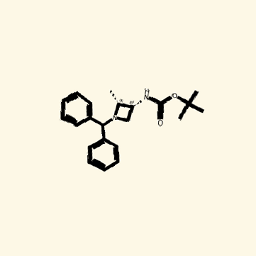 C[C@@H]1[C@H](NC(=O)OC(C)(C)C)CN1C(c1ccccc1)c1ccccc1